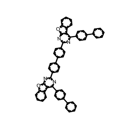 c1ccc(-c2ccc(-c3nc(-c4ccc(-c5ccc(-c6nc(-c7ccc(-c8ccccc8)cc7)c7c(n6)oc6ccccc67)cc5)cc4)nc4oc5ccccc5c34)cc2)cc1